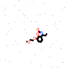 CCc1nc(=O)oc2c(OCCOC)cccc12